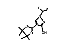 CC1(C)OB(c2cn(C(F)F)nc2O)OC1(C)C